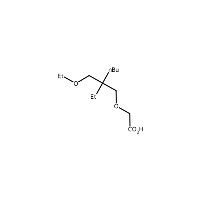 CCCCC(CC)(COCC)COCC(=O)O